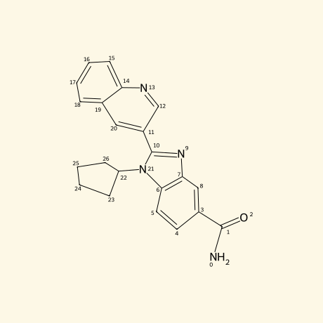 NC(=O)c1ccc2c(c1)nc(-c1cnc3ccccc3c1)n2C1CCCC1